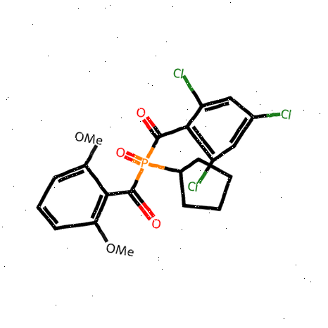 COc1cccc(OC)c1C(=O)P(=O)(C(=O)c1c(Cl)cc(Cl)cc1Cl)C1CCCC1